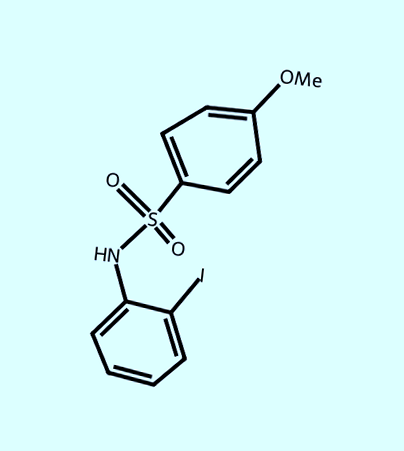 COc1ccc(S(=O)(=O)Nc2ccccc2I)cc1